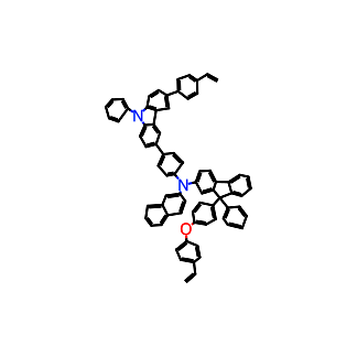 C=Cc1ccc(Oc2ccc(C3(c4ccccc4)c4ccccc4-c4ccc(N(c5ccc(-c6ccc7c(c6)c6cc(-c8ccc(C=C)cc8)ccc6n7-c6ccccc6)cc5)c5ccc6ccccc6c5)cc43)cc2)cc1